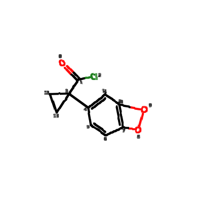 O=C(Cl)C1(c2ccc3ooc3c2)CC1